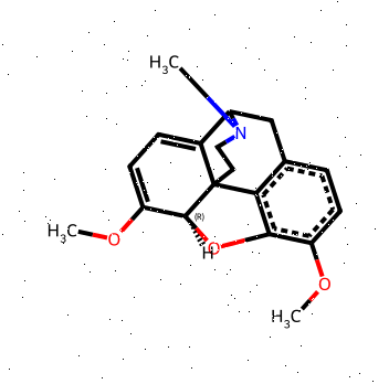 COC1=CC=C2C3Cc4ccc(OC)c5c4C2(CCN3C)[C@H]1O5